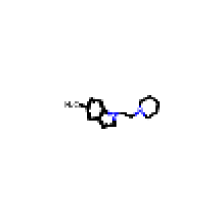 Cc1ccc2c(ccn2CCN2CCCCC2)c1